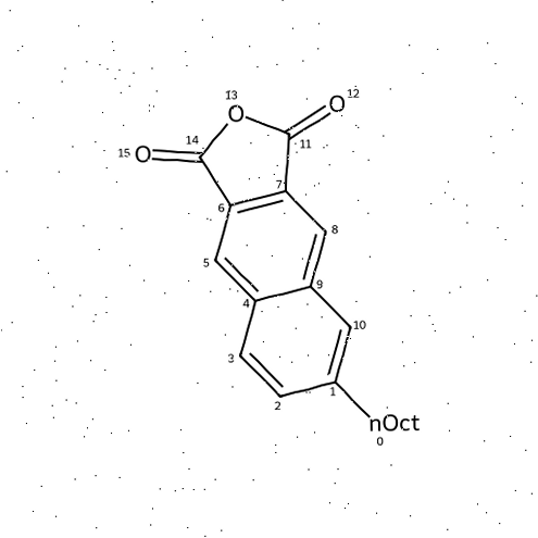 CCCCCCCCc1ccc2cc3c(cc2c1)C(=O)OC3=O